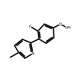 CCCOc1ccc(-c2ccc(C)cn2)c(F)c1